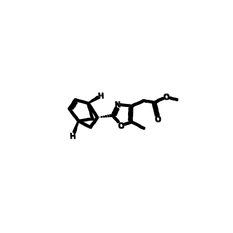 COC(=O)Cc1nc([C@@H]2C[C@@H]3C=C[C@H]2C3)oc1C